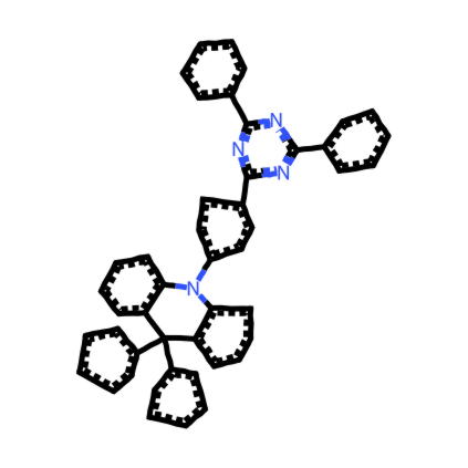 c1ccc(-c2nc(-c3ccccc3)nc(-c3ccc(N4c5ccccc5C(c5ccccc5)(c5ccccc5)c5ccccc54)cc3)n2)cc1